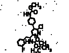 COC(=O)Nc1ccc(-c2cc([C@H](Cc3cccc(F)c3)NC(=O)OC(C)(C)C)nnc2Cl)cc1